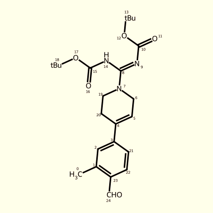 Cc1cc(C2=CCN(C(=NC(=O)OC(C)(C)C)NC(=O)OC(C)(C)C)CC2)ccc1C=O